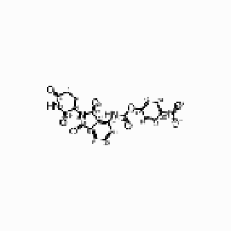 O=C1CCC(N2C(=O)c3cccc(NC(=O)Oc4ccc([N+](=O)[O-])cc4)c3C2=O)C(=O)N1